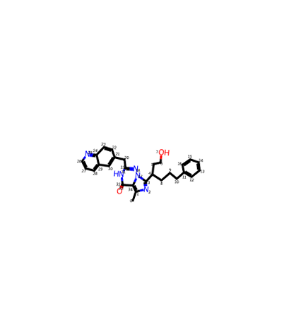 Cc1nc(C(CCO)CCCc2ccccc2)n2nc(Cc3ccc4ncccc4c3)[nH]c(=O)c12